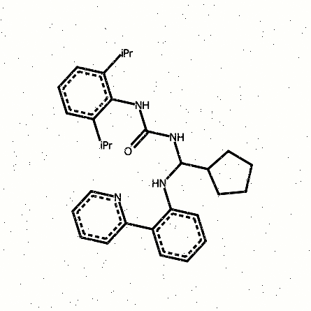 CC(C)c1cccc(C(C)C)c1NC(=O)NC(Nc1ccccc1-c1ccccn1)C1CCCC1